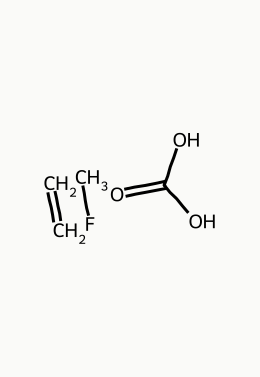 C=C.CF.O=C(O)O